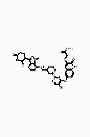 CNC(=O)COc1cc2cc(Nc3nc(N4CCCC(CNc5cccc6c(C7CCC(=O)NC7=O)nn(C)c56)C4)ncc3Cl)ccc2n(C)c1=O